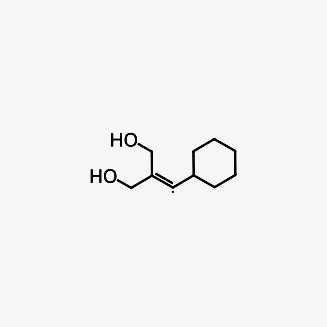 OCC(=[C]C1CCCCC1)CO